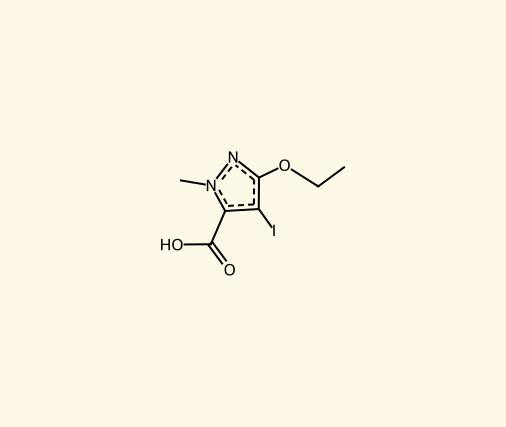 CCOc1nn(C)c(C(=O)O)c1I